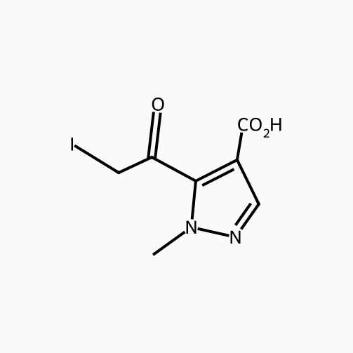 Cn1ncc(C(=O)O)c1C(=O)CI